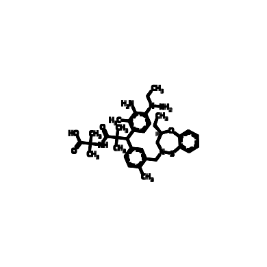 CC[C@@H]1CN(Cc2cc(C(c3ccc(N(N)CC)c(N)c3C)C(C)(C)C(=O)NC(C)(C)C(=O)O)ccc2C)Sc2ccccc2O1